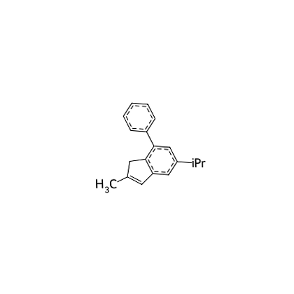 CC1=Cc2cc(C(C)C)cc(-c3ccccc3)c2C1